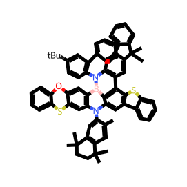 Cc1cc2c(cc1N1c3cc4c(cc3B3c5c1cc1c(sc6ccccc61)c5-c1cc5c(cc1N3c1ccc(C(C)(C)C)cc1-c1ccccc1)-c1ccccc1C5(C)C)Oc1ccccc1S4)C(C)(C)CCC2(C)C